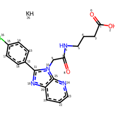 O=C(O)CCCNC(=O)Cn1c(-c2ccc(Cl)cc2)nc2cccnc21.[KH]